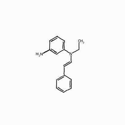 CCN(C=Cc1ccccc1)c1cccc(N)c1